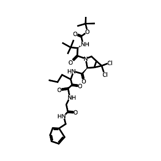 CCCC(NC(=O)[C@@H]1C2C(CN1C(=O)[C@@H](NC(=O)OC(C)(C)C)C(C)(C)C)C2(Cl)Cl)C(=O)C(=O)NCC(=O)NCc1ccccc1